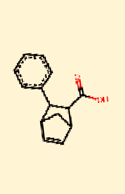 O=C(O)C1C2C=CC(C2)C1c1ccccc1